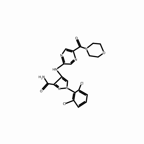 NC(=O)c1nn(-c2c(Cl)cccc2Cl)cc1Nc1cnc(C(=O)N2CCOCC2)cn1